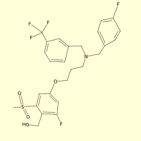 CS(=O)(=O)c1cc(OCCCN(Cc2ccc(F)cc2)Cc2cccc(C(F)(F)F)c2)cc(F)c1CO